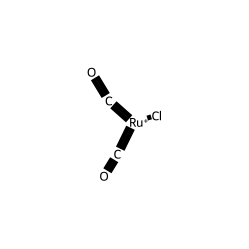 O=[C]=[Ru+]([Cl])=[C]=O